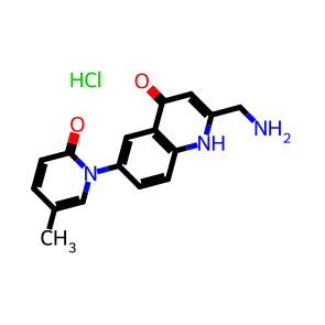 Cc1ccc(=O)n(-c2ccc3[nH]c(CN)cc(=O)c3c2)c1.Cl